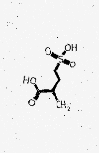 [CH2]C(CCS(=O)(=O)O)C(=O)O